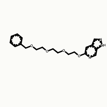 c1ccc(COCCOCCOCCOc2cc3cn[nH]c3cn2)cc1